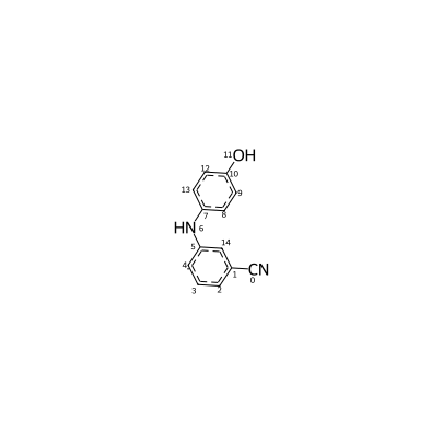 N#Cc1cc[c]c(Nc2ccc(O)cc2)c1